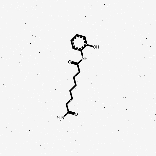 NC(=O)CCCCCCC(=O)Nc1ccccc1O